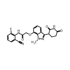 Cn1nc(C2CCC(=O)NC2=O)c2cccc(OCC(=O)Nc3c(F)cccc3C#N)c21